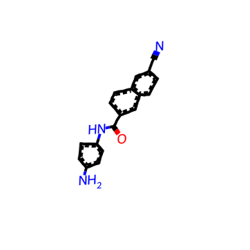 N#Cc1ccc2cc(C(=O)Nc3ccc(N)cc3)ccc2c1